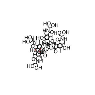 O=C(NCC(CNC(=O)c1c(I)c(O)c(I)c(C(=O)NC(CO)CO)c1I)(CNC(=O)c1c(I)c(O)c(I)c(C(=O)NC(CO)CO)c1I)CNC(=O)c1c(I)c(O)c(I)c(C(=O)NC(CO)CO)c1I)c1c(I)c(O)c(I)c(C(=O)NC(CO)CO)c1I